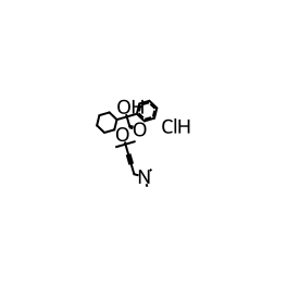 CN(C)CC#CC(C)(C)OC(=O)C(O)(c1ccccc1)C1CCCCC1.Cl